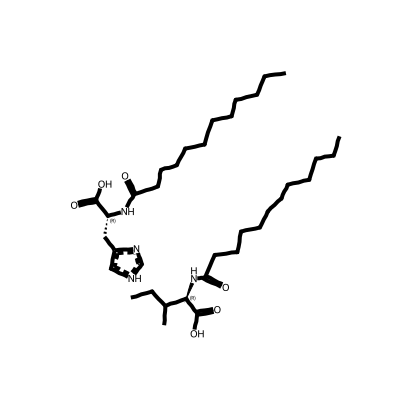 CCCCCCCCCCCC(=O)N[C@@H](C(=O)O)C(C)CC.CCCCCCCCCCCC(=O)N[C@H](Cc1c[nH]cn1)C(=O)O